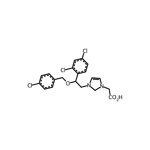 O=C(O)CN1C=CN(CC(OCc2ccc(Cl)cc2)c2ccc(Cl)cc2Cl)C1